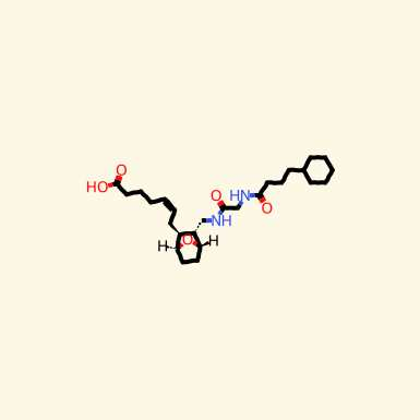 O=C(O)CCC/C=C\C[C@H]1[C@H](CNC(=O)CNC(=O)CCCC2CCCCC2)[C@@H]2CC[C@@H]1O2